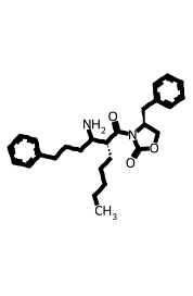 CCCCC[C@@H](C(=O)N1C(=O)OC[C@@H]1Cc1ccccc1)C(N)CCCc1ccccc1